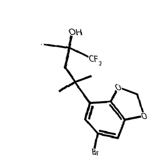 [CH2]C(O)(CC(C)(C)c1cc(Br)cc2c1OCO2)C(F)(F)F